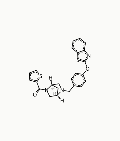 O=C(c1cccs1)N1C[C@@H]2C[C@H]1CN2Cc1ccc(Oc2nc3ccccc3s2)cc1